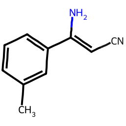 Cc1cccc(C(N)=CC#N)c1